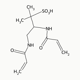 C=CC(=O)NCC(NC(=O)C=C)C(C)(C)S(=O)(=O)O